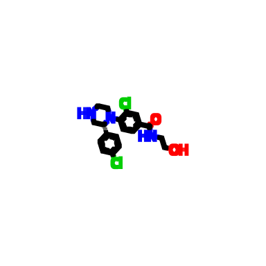 O=C(NCCO)c1ccc(N2CCNC[C@H]2c2ccc(Cl)cc2)c(Cl)c1